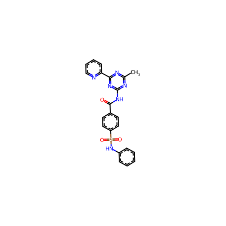 Cc1nc(NC(=O)c2ccc(S(=O)(=O)Nc3ccccc3)cc2)nc(-c2ccccn2)n1